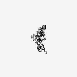 COC(=O)c1ccc2c(C3CCCCC3)c3n(c2c1)CCCn1cc(C(=O)CCl)c2cccc-3c21